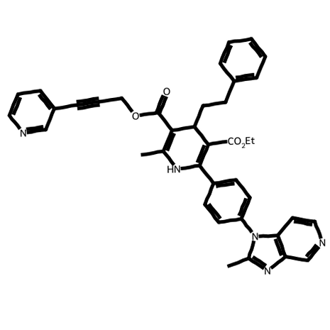 CCOC(=O)C1=C(c2ccc(-n3c(C)nc4cnccc43)cc2)NC(C)=C(C(=O)OCC#Cc2cccnc2)C1CCc1ccccc1